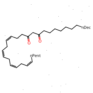 CCCCC/C=C\C/C=C\C/C=C\C/C=C\CCC(=O)CC(=O)CCCCCCCCCCCCCCCCC